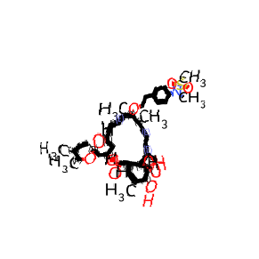 CC1=C[C@H]2C(=O)O[C@H]3C[C@@H](C/C=C(\C)[C@H](OCCc4ccc(N(C)S(C)(=O)=O)cc4)[C@@H](C)/C=C/C=C4\CO[C@H]([C@@H]1O)[C@@]42O)O[C@@]1(CC[C@H](C)[C@@H](C)O1)C3